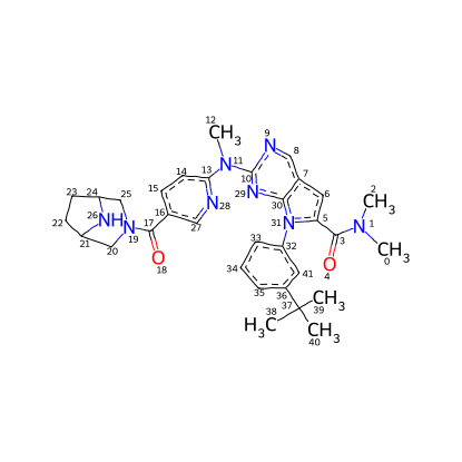 CN(C)C(=O)c1cc2cnc(N(C)c3ccc(C(=O)N4CC5CCC(C4)N5)cn3)nc2n1-c1cccc(C(C)(C)C)c1